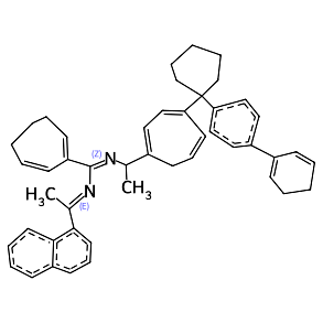 C/C(=N\C(=N/C(C)C1=CC=C(C2(c3ccc(C4=CCCC=C4)cc3)CCCCC2)C=CC1)C1=CCCCC=C1)c1cccc2ccccc12